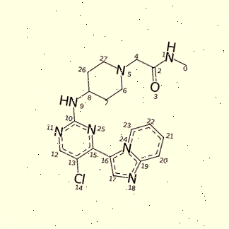 CNC(=O)CN1CCC(Nc2ncc(Cl)c(-c3cnc4ccccn34)n2)CC1